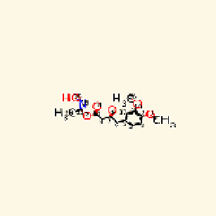 COc1ccc(CC(=O)CC(=O)OC(C)=NO)cc1OC